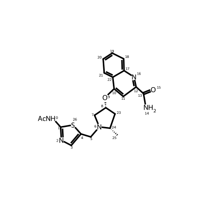 CC(=O)Nc1ncc(CN2C[C@H](Oc3cc(C(N)=O)nc4ccccc34)C[C@@H]2C)s1